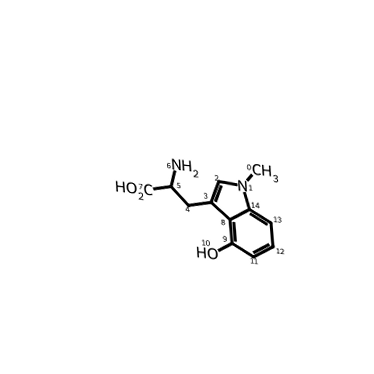 Cn1cc(CC(N)C(=O)O)c2c(O)cccc21